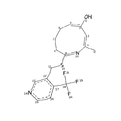 CC1=C/C(O)=C\CCC/C(SCc2cnccc2C(F)(F)F)=N\1